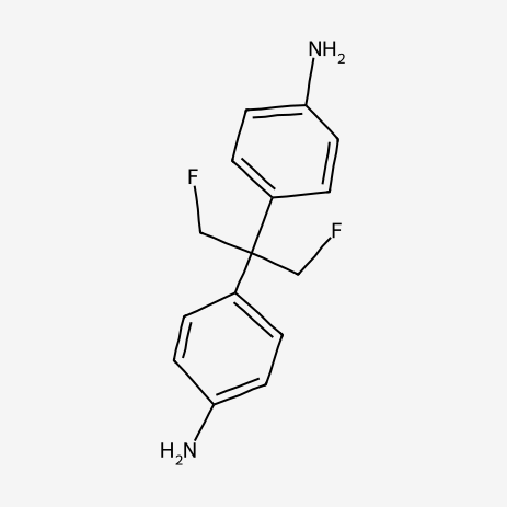 Nc1ccc(C(CF)(CF)c2ccc(N)cc2)cc1